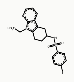 O=C(O)Cn1c2c(c3cccnc31)CC(NS(=O)(=O)c1ccc(F)cc1)CC2